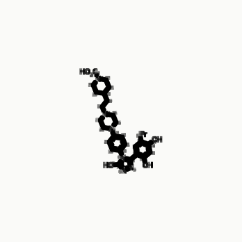 CC(C)c1cc(-c2nnc(O)n2-c2ccc(N3CCN(CCC4CCN(C(=O)O)CC4)CC3)cc2)c(O)cc1O